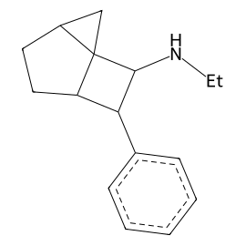 CCNC1C(c2ccccc2)C2CCC3CC321